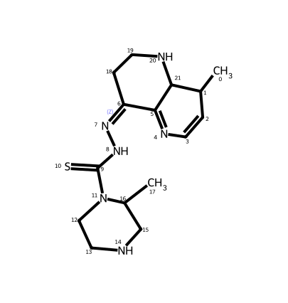 CC1C=CN=C2/C(=N\NC(=S)N3CCNCC3C)CCNC21